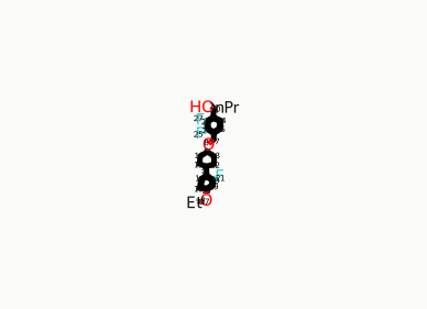 CCCC(O)c1ccc(COC2CCC(c3ccc(OCC)cc3F)CC2)c(F)c1F